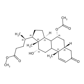 COC(=O)CC[C@@H](C)[C@H]1CC[C@H]2C3C(C[C@H](O)[C@]12C)[C@@]1(C)C=CC(=O)C[C@H]1C[C@H]3OC(C)=O